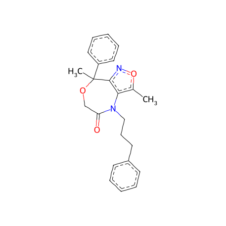 Cc1onc2c1N(CCCc1ccccc1)C(=O)COC2(C)c1ccccc1